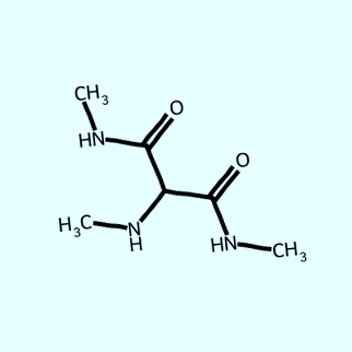 CNC(=O)C(NC)C(=O)NC